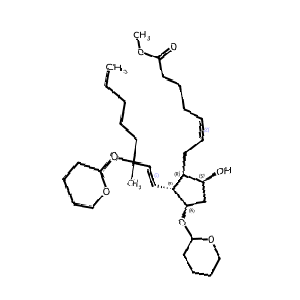 CCCCCC(C)(/C=C/[C@@H]1[C@@H](C/C=C\CCCC(=O)OC)[C@@H](O)C[C@H]1OC1CCCCO1)OC1CCCCO1